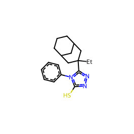 CCC1(c2nnc(S)n2-c2ccccc2)CC2CCCC(C2)C1